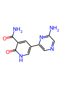 NC(=O)c1cc(-c2cncc(N)n2)c[nH]c1=O